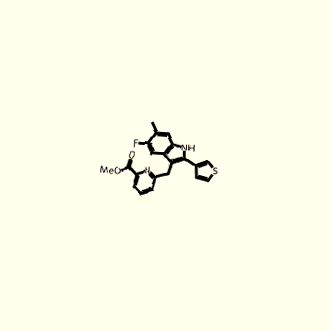 COC(=O)c1cccc(Cc2c(-c3ccsc3)[nH]c3cc(C)c(F)cc23)n1